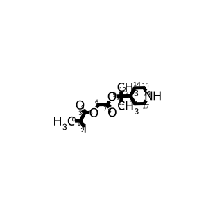 CC(I)C(=O)OCC(=O)OC(C)(C)C1CCNCC1